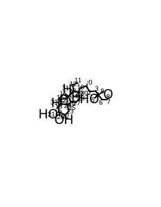 C[C@H](CCC1(O)CCOC1)[C@H]1CC[C@H]2[C@@H]3CC[C@H]4CC(O)(O)CC[C@]4(C)[C@H]3CC[C@]12C